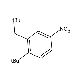 CC(C)(C)Cc1cc([N+](=O)[O-])ccc1C(C)(C)C